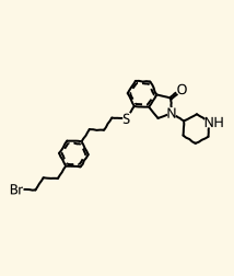 O=C1c2cccc(SCCCc3ccc(CCCBr)cc3)c2CN1C1CCCNC1